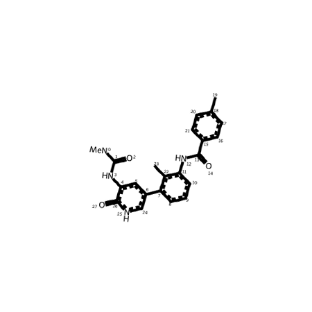 CNC(=O)Nc1cc(-c2cccc(NC(=O)c3ccc(C)cc3)c2C)c[nH]c1=O